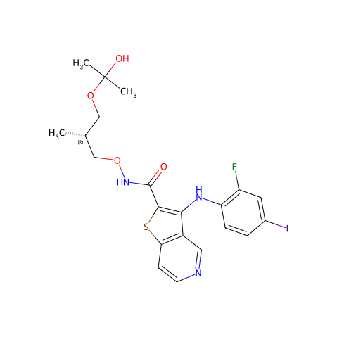 C[C@@H](CONC(=O)c1sc2ccncc2c1Nc1ccc(I)cc1F)COC(C)(C)O